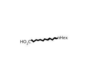 CCCCCCC=CCC=CCCCCCCCC(=O)O